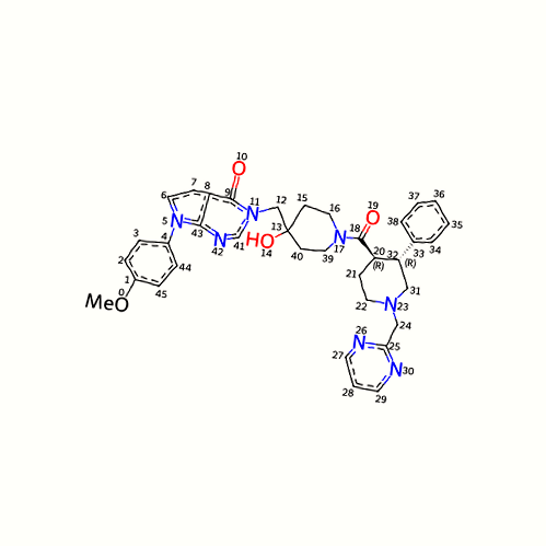 COc1ccc(-n2ccc3c(=O)n(CC4(O)CCN(C(=O)[C@@H]5CCN(Cc6ncccn6)C[C@H]5c5ccccc5)CC4)cnc32)cc1